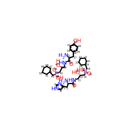 N[C@@H](Cc1c[nH]cn1)C(=O)NC[C@H](O)CP(=O)(O)CC1CCCCC1.N[C@@H](Cc1ccc(O)cc1)C(=O)NC[C@H](O)CP(=O)(O)CC1CCCCC1